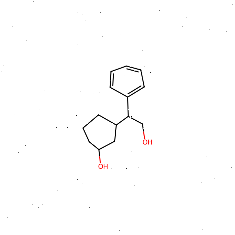 OCC(c1ccccc1)C1CCCC(O)C1